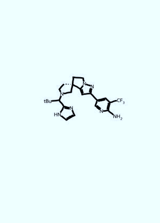 CC(C)(C)C(c1ncc[nH]1)N1CC[C@@]2(CCn3nc(-c4cnc(N)c(C(F)(F)F)c4)cc32)C1